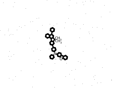 CC1(C)c2cc(-c3ccc(N(c4ccccc4)c4ccc5c(c4)oc4ccccc45)cc3)ccc2-c2c1cc(-c1ccccc1)c1ccccc21